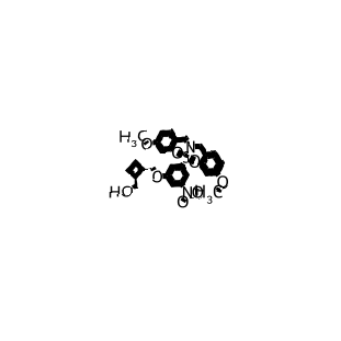 COc1ccc(CN(Cc2ccc(OC)cc2)S(=O)(=O)c2cc(OC[C@H]3CC[C@@H]3CO)cc([N+](=O)[O-])c2)cc1